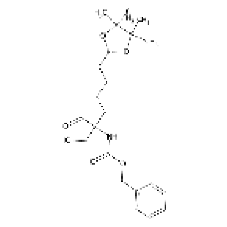 CC1(C)OB(CCCCC(C=O)(CO)NC(=O)OCc2ccccc2)OC1(C)C